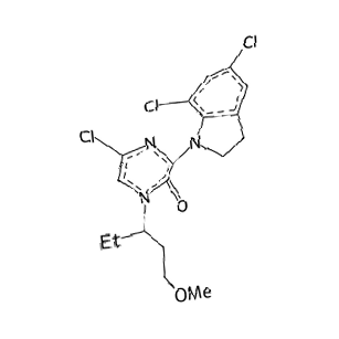 CCC(CCOC)n1cc(Cl)nc(N2CCc3cc(Cl)cc(Cl)c32)c1=O